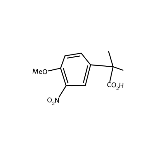 COc1ccc(C(C)(C)C(=O)O)cc1[N+](=O)[O-]